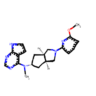 COc1cccc(N2C[C@H]3C[C@H](N(C)c4ncnc5[nH]ccc45)C[C@H]3C2)n1